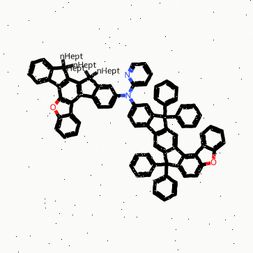 CCCCCCCC1(CCCCCCC)c2ccccc2-c2c1c1c(c3c2oc2ccccc23)-c2ccc(N(c3ccc4c(c3)C(c3ccccc3)(c3ccccc3)c3cc5c(cc3-4)C(c3ccccc3)(c3ccccc3)c3ccc4oc6ccccc6c4c3-5)c3ccccn3)cc2C1(CCCCCCC)CCCCCCC